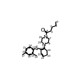 CCCCC(=O)N1CCN(C2=C(Sc3ccc(C)cc3C)C=CCC2)CC1